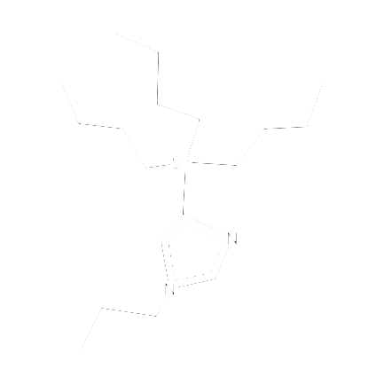 CCC[CH2][Sn]([CH2]CCC)([CH2]CCC)[c]1cn(CCC)cn1